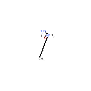 CCCCCCCCCCCCCCCC(=O)C[N+](C)(C)CCCN